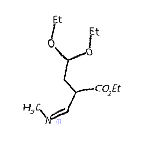 CCOC(=O)C(/C=N\C)CC(OCC)OCC